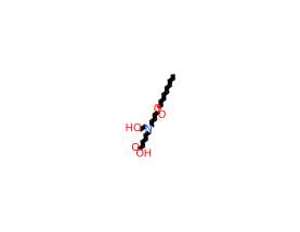 CCCCCCCCCCOC(=O)CCCCN(CCO)CCCCCC(=O)O